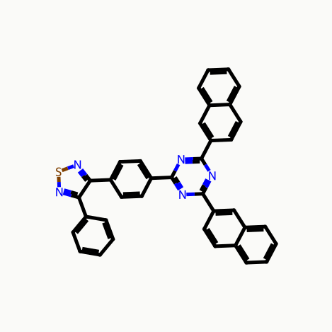 c1ccc(-c2nsnc2-c2ccc(-c3nc(-c4ccc5ccccc5c4)nc(-c4ccc5ccccc5c4)n3)cc2)cc1